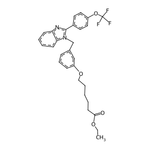 CCOC(=O)CCCCCOc1cccc(Cn2c(-c3ccc(OC(F)(F)F)cc3)nc3ccccc32)c1